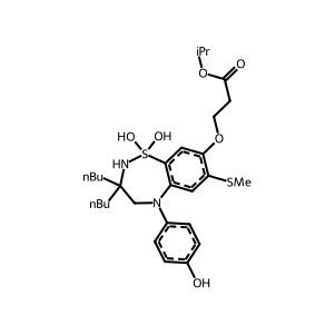 CCCCC1(CCCC)CN(c2ccc(O)cc2)c2cc(SC)c(OCCC(=O)OC(C)C)cc2S(O)(O)N1